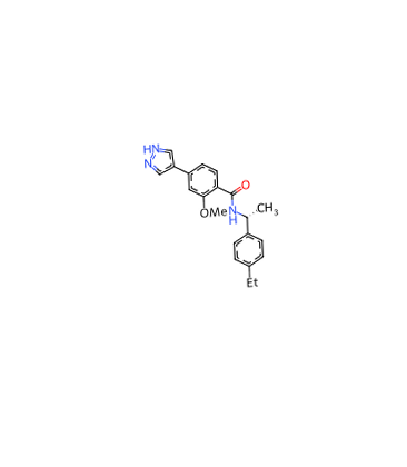 CCc1ccc([C@@H](C)NC(=O)c2ccc(-c3cn[nH]c3)cc2OC)cc1